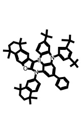 CC(C)(C)c1cc(N2c3cc(C(C)(C)C)ccc3B3c4c2cc(-c2ccccc2)cc4N(c2ccc4c(c2)C(C)(C)CCC4(C)C)c2oc4cc5c(cc4c23)C(C)(C)CCC5(C)C)cc(C(C)(C)C)c1